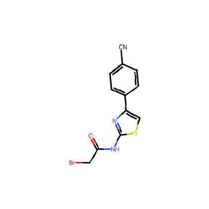 N#Cc1ccc(-c2csc(NC(=O)CBr)n2)cc1